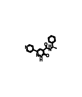 C[C@@H](NC(=O)c1cc(-c2ccncc2)n[nH]c1=O)c1ccccc1